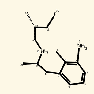 Cc1c(N)cccc1C[C@@H](C)NC[C@H](C)CF